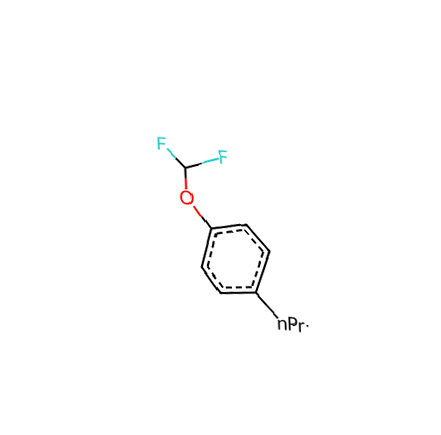 CC[CH]c1ccc(OC(F)F)cc1